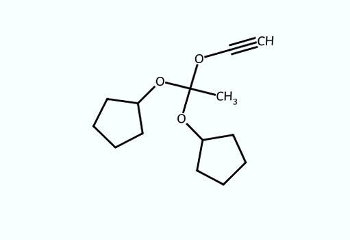 C#COC(C)(OC1CCCC1)OC1CCCC1